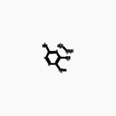 CC(=O)O.CCCCCCc1ccc(O)cc1O